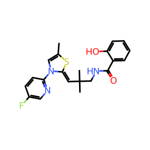 CC1=CN(c2ccc(F)cn2)C(=CC(C)(C)CNC(=O)c2ccccc2O)S1